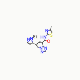 CCn1nccc1-c1cc(C(=O)Nc2nc(C)cs2)c2ncnn2c1